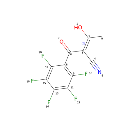 C/C(O)=C(\C#N)C(=O)c1c(F)c(F)c(F)c(F)c1F